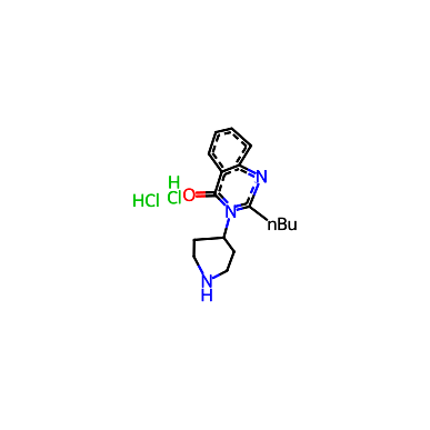 CCCCc1nc2ccccc2c(=O)n1C1CCNCC1.Cl.Cl